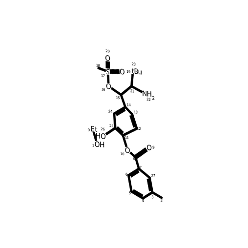 CCO.Cc1cccc(C(=O)Oc2ccc(C(OS(C)(=O)=O)C(N)C(C)(C)C)cc2O)c1